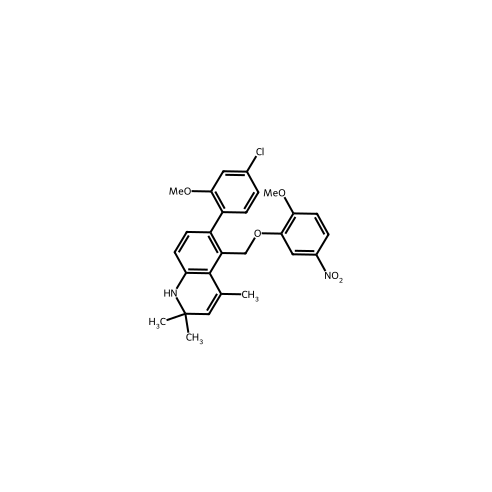 COc1ccc([N+](=O)[O-])cc1OCc1c(-c2ccc(Cl)cc2OC)ccc2c1C(C)=CC(C)(C)N2